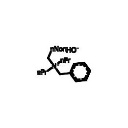 CCCCCCCCCC[N+](CCC)(CCC)Cc1ccccc1.[OH-]